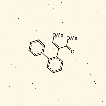 CO/C=C(\C(=O)OC)c1ccccc1-c1ccccc1